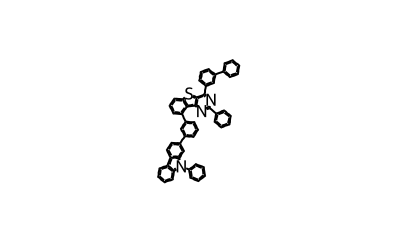 c1ccc(-c2cccc(-c3nc(-c4ccccc4)nc4c3sc3cccc(-c5cccc(-c6ccc7c8ccccc8n(-c8ccccc8)c7c6)c5)c34)c2)cc1